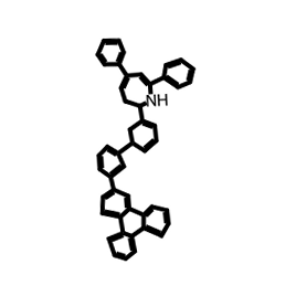 C1=CC(c2cccc(-c3ccc4c5ccccc5c5ccccc5c4c3)c2)CC(C2CC=C(c3ccccc3)C=C(c3ccccc3)N2)=C1